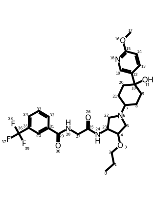 CCCOC1CN(C2CCC(O)(c3ccc(OC)nc3)CC2)CC1NC(=O)CNC(=O)c1cccc(C(F)(F)F)c1